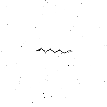 CCCCCCCCO[C]=S